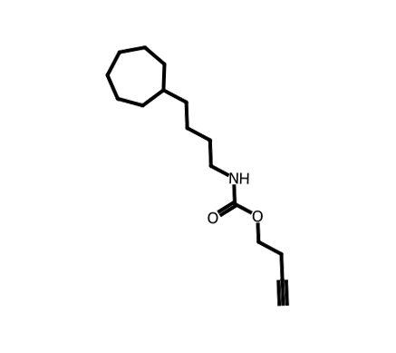 C#CCCOC(=O)NCCCCC1CCCCCC1